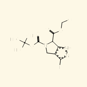 CCOC(=O)C1c2[nH]nc(I)c2CN1C(=O)OC(C)(C)C